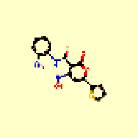 Nc1ccccc1NC(=O)c1c(NO)cc(-c2cccs2)oc1=O